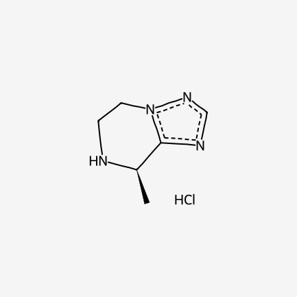 C[C@H]1NCCn2ncnc21.Cl